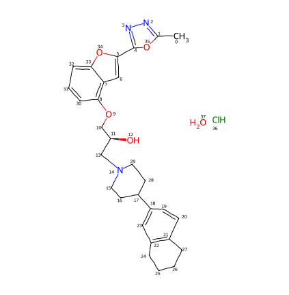 Cc1nnc(-c2cc3c(OC[C@@H](O)CN4CCC(c5ccc6c(c5)CCCC6)CC4)cccc3o2)o1.Cl.O